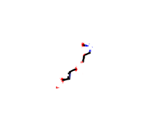 COC(=O)/C=C/C(=O)OCC1CNC(=O)O1